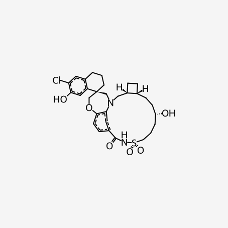 O=C1NS(=O)(=O)CCC[C@@H](O)CC[C@H]2CC[C@H]2CN2C[C@@]3(CCCc4cc(Cl)c(O)cc43)COc3ccc1cc32